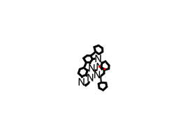 c1ccc(-c2ccnc(-n3c4c(ccc5nccnc54)c4ccc5c6ccccc6n(-c6ccccc6)c5c43)n2)cc1